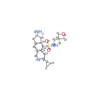 NC1Cc2cc3cnc(C4CC4)cc3c(S(=O)(=O)NCC3(F)COC3)c2C1